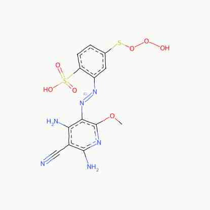 COc1nc(N)c(C#N)c(N)c1/N=N/c1cc(SOOO)ccc1S(=O)(=O)O